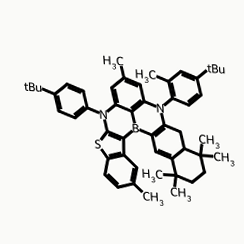 Cc1cc2c3c(c1)N(c1ccc(C(C)(C)C)cc1)c1sc4ccc(C)cc4c1B3C1=C(CC3C(=C1)C(C)(C)CCC3(C)C)N2c1ccc(C(C)(C)C)cc1C